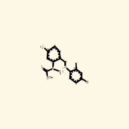 CCc1ccc(OCc2ccc(C(F)(F)F)cc2N(O)C(=O)OC)c(C)c1